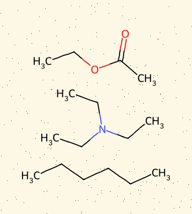 CCCCCC.CCN(CC)CC.CCOC(C)=O